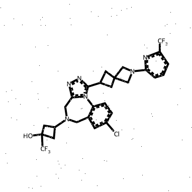 OC1(C(F)(F)F)CC(N2Cc3cc(Cl)ccc3-n3c(nnc3C3CC4(C3)CN(c3cccc(C(F)(F)F)n3)C4)C2)C1